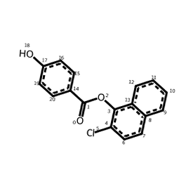 O=C(Oc1c(Cl)ccc2ccccc12)c1ccc(O)cc1